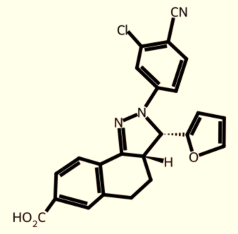 N#Cc1ccc(N2N=C3c4ccc(C(=O)O)cc4CC[C@H]3[C@H]2c2ccco2)cc1Cl